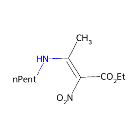 CCCCCNC(C)=C(C(=O)OCC)[N+](=O)[O-]